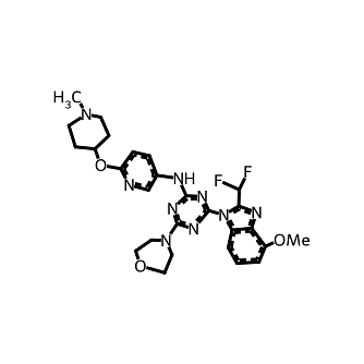 COc1cccc2c1nc(C(F)F)n2-c1nc(Nc2ccc(OC3CCN(C)CC3)nc2)nc(N2CCOCC2)n1